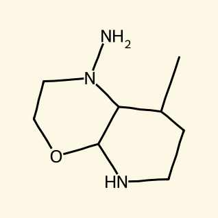 CC1CCNC2OCCN(N)C12